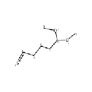 COC(CCCC=S)OC